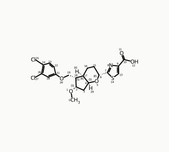 CO[C@H]1C[C@@H]2O[C@@H](c3nc(C(=O)O)cs3)CC[C@@H]2[C@H]1COc1ccc(Cl)c(Cl)c1